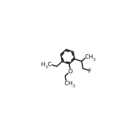 CCOc1c(CC)cccc1[C](C)CF